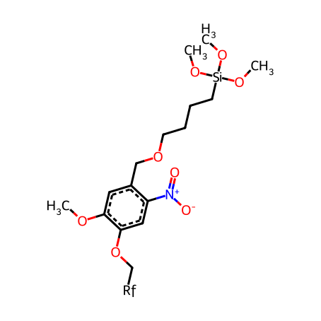 COc1cc(COCCCC[Si](OC)(OC)OC)c([N+](=O)[O-])cc1O[CH2][Rf]